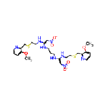 COc1cccnc1CSCCNC(=C[N+](=O)[O-])NCCCNC(=C[N+](=O)[O-])NCCSCc1ncccc1OC